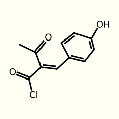 CC(=O)/C(=C\c1ccc(O)cc1)C(=O)Cl